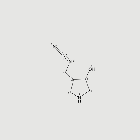 [N-]=[N+]=NCC1CNCC1O